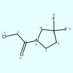 O=C(CCl)N1CCC(F)(F)C1